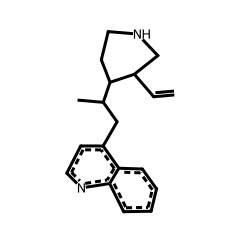 C=CC1CNCCC1C(C)Cc1ccnc2ccccc12